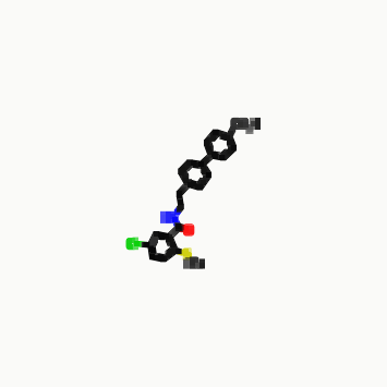 CCCCSc1ccc(Cl)cc1C(=O)NCCc1ccc(-c2ccc(C(=O)O)cc2)cc1